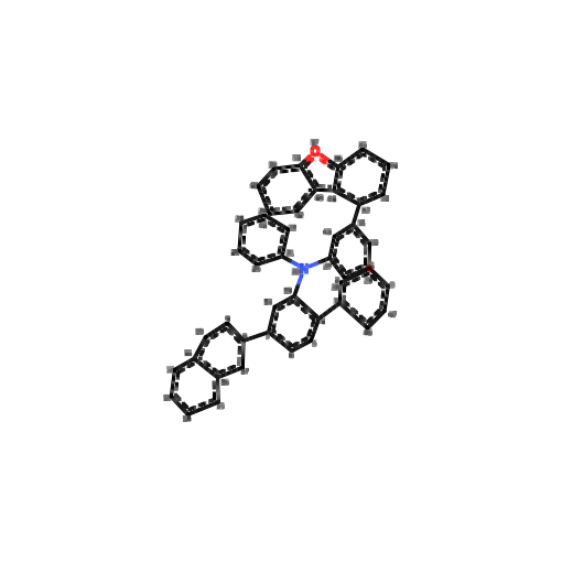 c1ccc(-c2ccc(-c3ccc4ccccc4c3)cc2N(c2ccccc2)c2cccc(-c3cccc4oc5ccccc5c34)c2)cc1